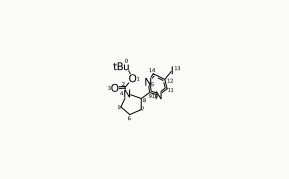 CC(C)(C)OC(=O)N1CCCC1c1ncc(I)cn1